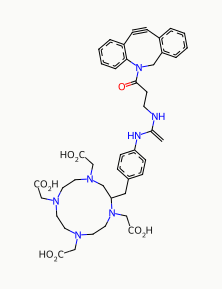 C=C(NCCC(=O)N1Cc2ccccc2C#Cc2ccccc21)Nc1ccc(CC2CN(CC(=O)O)CCN(CC(=O)O)CCN(CC(=O)O)CCN2CC(=O)O)cc1